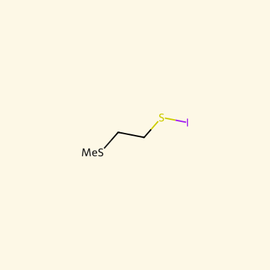 CSCCSI